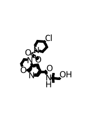 CC(C)(CO)NC(=O)c1cnc2c(c1)N(S(=O)(=O)N1CCC(Cl)CC1)CCO2